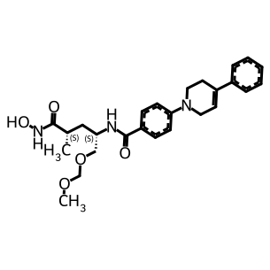 COCOC[C@H](C[C@H](C)C(=O)NO)NC(=O)c1ccc(N2CC=C(c3ccccc3)CC2)cc1